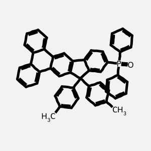 Cc1ccc(C2(c3ccc(C)cc3)c3cc(P(=O)(c4ccccc4)c4ccccc4)ccc3-c3cc4c5ccccc5c5ccccc5c4cc32)cc1